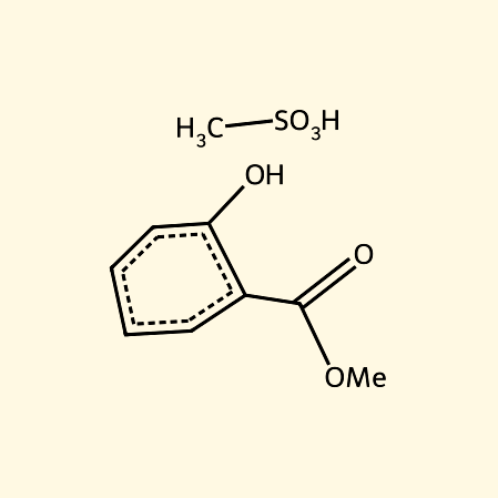 COC(=O)c1ccccc1O.CS(=O)(=O)O